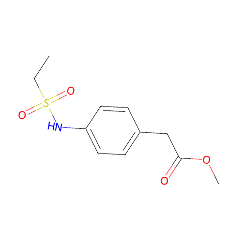 CCS(=O)(=O)Nc1ccc(CC(=O)OC)cc1